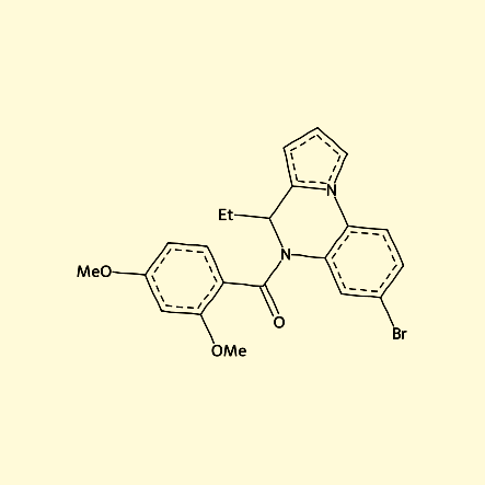 CCC1c2cccn2-c2ccc(Br)cc2N1C(=O)c1ccc(OC)cc1OC